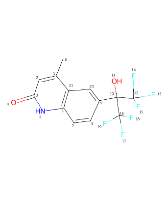 Cc1cc(=O)[nH]c2ccc(C(O)(C(F)(F)F)C(F)(F)F)cc12